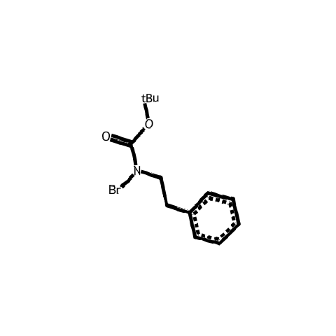 CC(C)(C)OC(=O)N(Br)CCc1ccccc1